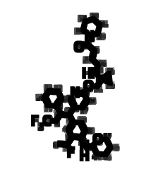 C=C(F)c1cc(/C(=C(\CC(F)(F)F)c2ccccc2)c2ccc(OCC3(NC/C=C/C(=O)N4CCCCC4)CC3)nc2)ccc1NC1CCCCO1